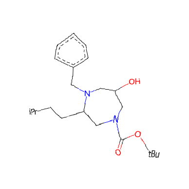 CC(C)CCC1CN(C(=O)OC(C)(C)C)CC(O)CN1Cc1ccccc1